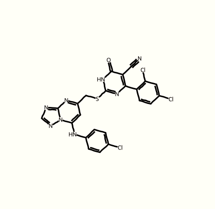 N#Cc1c(-c2ccc(Cl)cc2Cl)nc(SCc2cc(Nc3ccc(Cl)cc3)n3ncnc3n2)[nH]c1=O